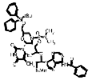 CCC(COP(=O)(N(C)C)N1CC(CO[Si](c2ccccc2)(c2ccccc2)C(C)(C)C)O[C@@H](n2cc(C)c(=O)[nH]c2=O)C1)OC(CNC)n1cnc2c(NC(=O)c3ccccc3)ncnc21